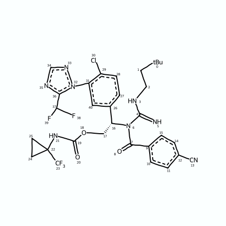 CC(C)(C)CCNC(=N)N(C(=O)c1ccc(C#N)cc1)[C@H](COC(=O)NC1(C(F)(F)F)CC1)c1ccc(Cl)c(-n2ncnc2C(F)F)c1